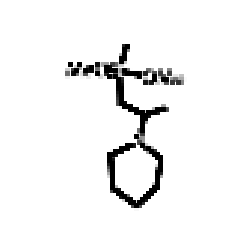 CO[Si](C)(CC(C)N1CCCCC1)OC